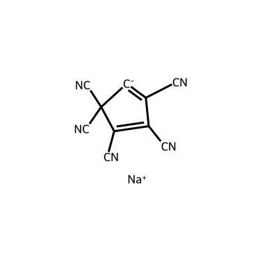 N#CC1=[C-]C(C#N)(C#N)C(C#N)=C1C#N.[Na+]